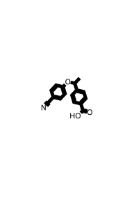 CC(Oc1ccc(C#N)cc1)c1ccc(C(=O)O)cc1